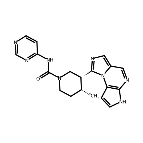 C[C@@H]1CCN(C(=O)Nc2ccncn2)C[C@@H]1c1ncc2cnc3[nH]ccc3n12